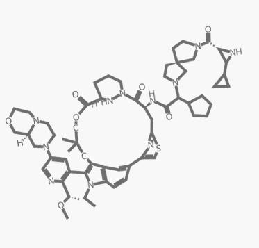 CCn1c(-c2cc(N3CCN4CCOC[C@@H]4C3)cnc2[C@H](C)OC)c2c3cc(ccc31)-c1csc(n1)C[C@H](NC(=O)C(C1CCCC1)N1CC[C@]3(CCN(C(=O)[C@@H]4NC4C4CC4)C3)C1)C(=O)N1CCC[C@H](N1)C(=O)OCC(C)(C)C2